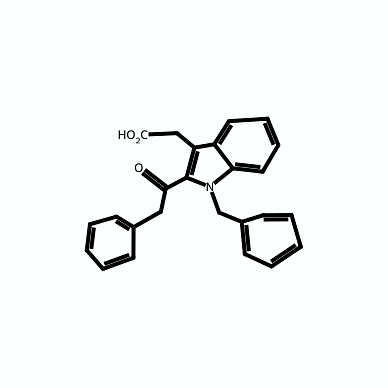 O=C(O)Cc1c(C(=O)Cc2ccccc2)n(Cc2ccccc2)c2ccccc12